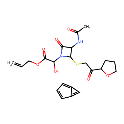 C=CCOC(=O)C(O)N1C(=O)C(NC(C)=O)C1SCC(=O)C1CCCO1.c1cc2cc-2c1